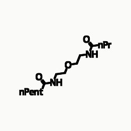 CCCCCC(=O)NCCOCCNC(=O)CCC